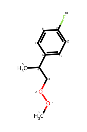 COOCC(C)c1ccc(F)cc1